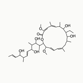 C/C=C/C(O)C(C)/C=C/C(O)C(C)C(O)C(C)C1OC(=O)C(OC)=C/C(C)=C/C(C)C(O)C(CC)C(O)C(C)C/C(C)=C/C=C/C1OC